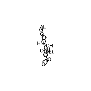 CCOc1cc(C(=O)N2C3CCC2COC3)ccc1C(=O)NC[C@@H](O)[C@@H]1Cc2ccc(OCc3ocnc3C)cc2CN1